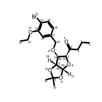 CCCC(=O)[C@H]1O[C@@H]2OC(C)(C)O[C@@H]2[C@H]1OCc1ccc(Br)c(OCC)c1